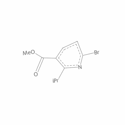 COC(=O)c1ccc(Br)nc1C(C)C